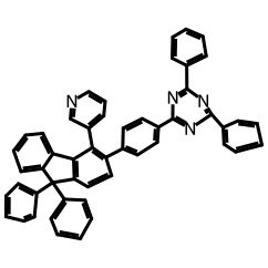 c1ccc(-c2nc(-c3ccccc3)nc(-c3ccc(-c4ccc5c(c4-c4cccnc4)-c4ccccc4C5(c4ccccc4)c4ccccc4)cc3)n2)cc1